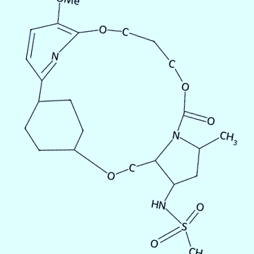 COc1ccc2nc1OCCCOC(=O)N1C(C)CC(NS(C)(=O)=O)C1COC1CCC2CC1